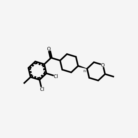 Cc1ccc(C(=O)C2CCC([C@@H]3CCC(C)OC3)CC2)c(Cl)c1Cl